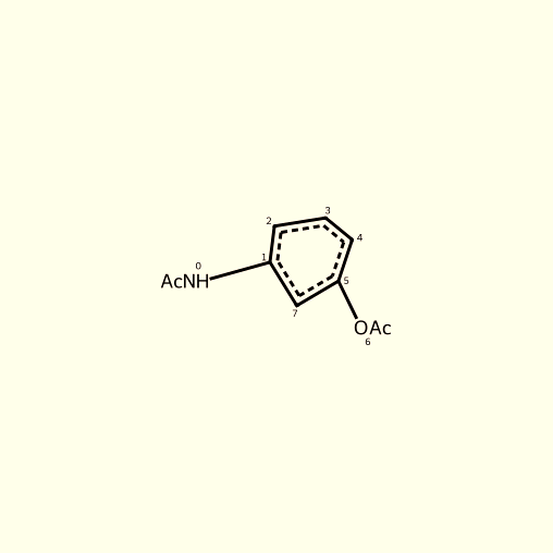 CC(=O)Nc1cccc(OC(C)=O)c1